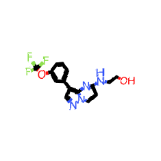 OCCNc1ccn2ncc(-c3cccc(OC(F)(F)F)c3)c2n1